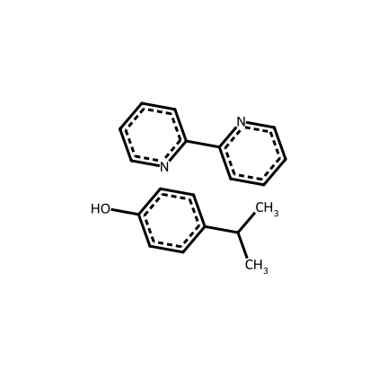 CC(C)c1ccc(O)cc1.c1ccc(-c2ccccn2)nc1